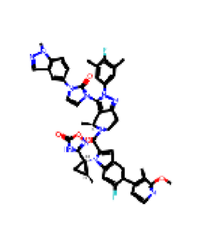 COc1nccc(-c2cc3cc(C(=O)N4CCc5nn(-c6cc(C)c(F)c(C)c6)c(-n6ccn(-c7ccc8c(cnn8C)c7)c6=O)c5[C@@H]4C)n([C@@]4(c5noc(=O)[nH]5)C[C@@H]4C)c3cc2F)c1C